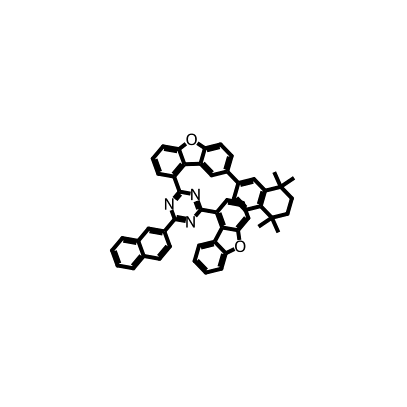 CC1(C)CCC(C)(C)c2cc(-c3ccc4oc5cccc(-c6nc(-c7ccc8ccccc8c7)nc(-c7cccc8oc9ccccc9c78)n6)c5c4c3)ccc21